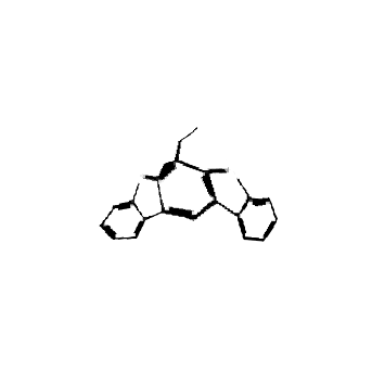 CCc1c2[nH]c3ccccc3c2cc2c1[nH]c1ccccc12